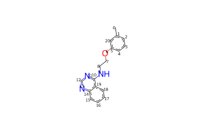 Cc1cccc(OCCNc2ncnc3ccccc23)c1